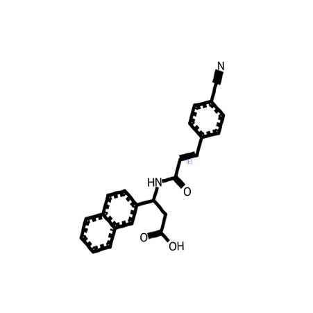 N#Cc1ccc(/C=C/C(=O)NC(CC(=O)O)c2ccc3ccccc3c2)cc1